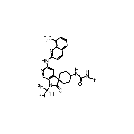 [2H]C([2H])([2H])N1C(=O)C2(CCC(NC(=O)NCC)CC2)c2cc(Nc3ccc4cccc(C(F)(F)F)c4n3)ncc21